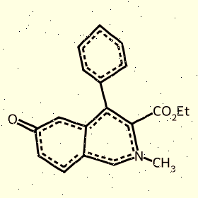 CCOC(=O)c1c(-c2ccccc2)c2cc(=O)ccc-2cn1C